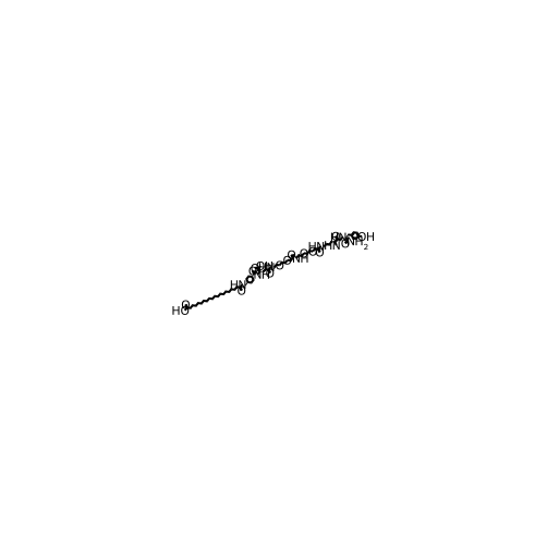 CN[C@@H](CCCCNC(=O)COCCOCCNC(=O)COCCOCCNC(=O)CC[C@H](NC(=O)[C@H]1CC[C@H](CNC(=O)CCCCCCCCCCCCCCCCCCC(=O)O)CC1)C(=O)O)C(=O)CN[C@@H](Cc1ccc(O)cc1)C(N)=O